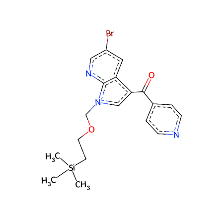 C[Si](C)(C)CCOCn1cc(C(=O)c2ccncc2)c2cc(Br)cnc21